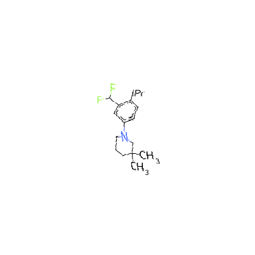 CC(C)c1ccc(N2CCCC(C)(C)C2)cc1C(F)F